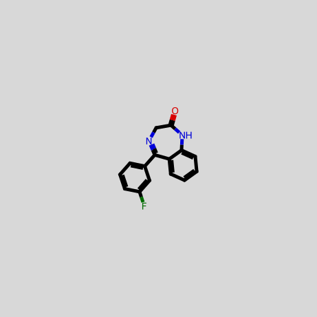 O=C1CN=C(c2cccc(F)c2)c2ccccc2N1